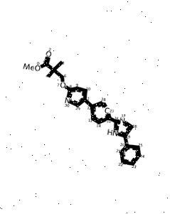 COC(=O)C(C)(C)COc1ccc(-c2ccc(-c3ncc(-c4ccccc4)[nH]3)cc2)cn1